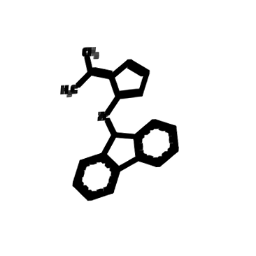 CC(C)=C1C=CC=[C]1[Zr][CH]1c2ccccc2-c2ccccc21